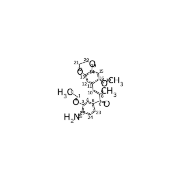 CCOc1cc(C(=O)/C(C)=C/c2cc3c(cc2OC)OCCO3)ccc1N